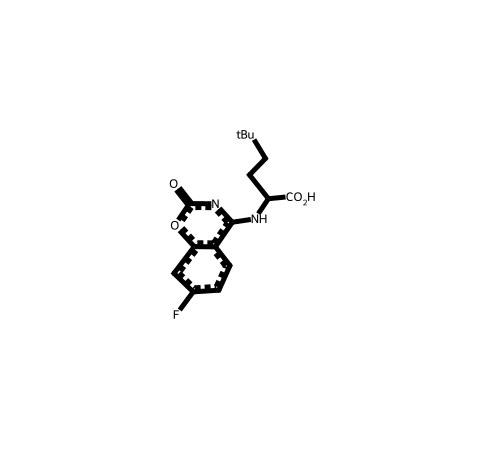 CC(C)(C)CCC(Nc1nc(=O)oc2cc(F)ccc12)C(=O)O